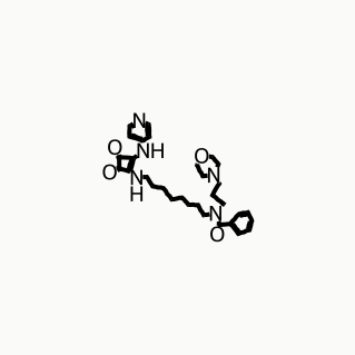 O=C(c1ccccc1)N(CCCCCCCCNc1c(Nc2ccncc2)c(=O)c1=O)CCCN1CCOCC1